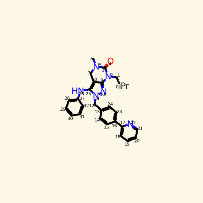 CC(C)CN1C(=O)N(C)Cc2c1nn(Cc1ccc(-c3ccccn3)cc1)c2Nc1ccccc1